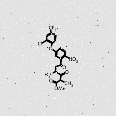 COC(=O)C(C)C(=O)C(C)CC(=O)c1cc(Oc2ccc(C(F)(F)F)cc2Cl)ccc1[N+](=O)[O-]